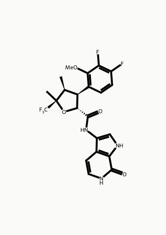 COc1c([C@H]2[C@H](C(=O)Nc3c[nH]c4c(=O)[nH]ccc34)O[C@@](C)(C(F)(F)F)[C@H]2C)ccc(F)c1F